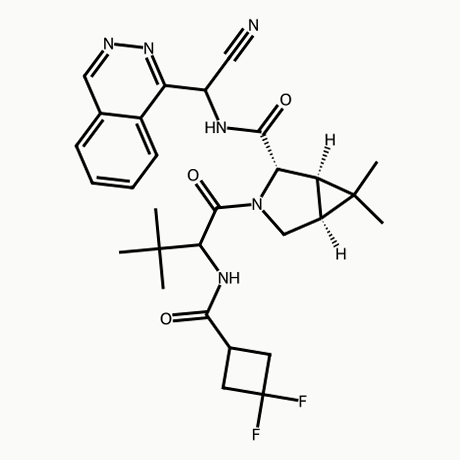 CC(C)(C)C(NC(=O)C1CC(F)(F)C1)C(=O)N1C[C@H]2[C@@H]([C@H]1C(=O)NC(C#N)c1nncc3ccccc13)C2(C)C